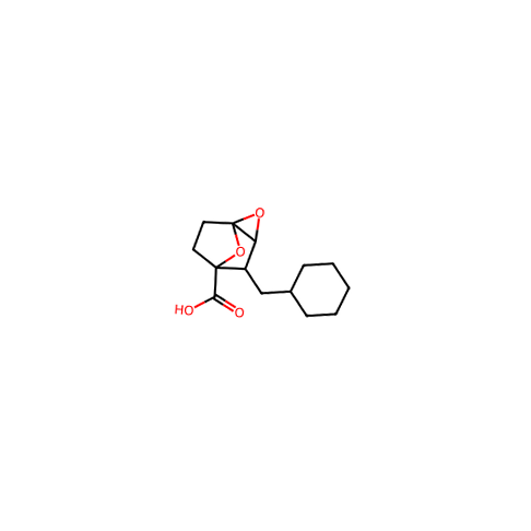 O=C(O)C12CCC3(OC3C1CC1CCCCC1)O2